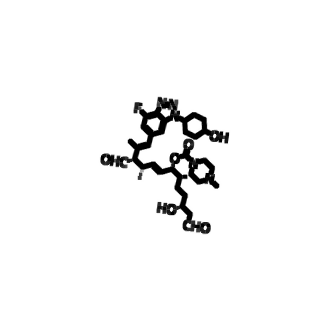 C/C(=C\c1cc(F)c2nnn(C3CCC(O)CC3)c2c1)[C@@H](C=O)[C@@H](C)/C=C/[C@H](OC(=O)N1CCN(C)CC1)[C@@H](C)CC[C@@H](O)CC=O